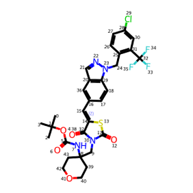 CC(C)(C)OC(=O)NC1(CN2C(=O)S/C(=C\c3ccc4c(cnn4Cc4ccc(Cl)cc4C(F)(F)F)c3)C2=O)CCOCC1